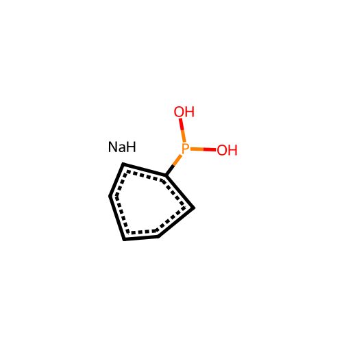 OP(O)c1ccccc1.[NaH]